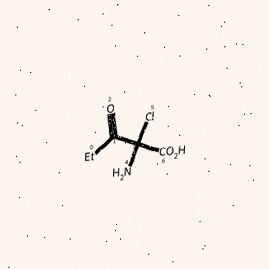 CCC(=O)C(N)(Cl)C(=O)O